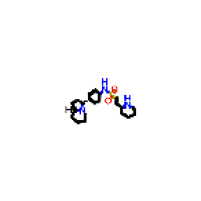 O=S(=O)(CCC1CCCCN1)Nc1ccc([C@@H]2CC[C@H]3CCCCN32)cc1